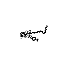 C=C(C)[C@@H]1CC=C(COC(=O)N(C(=O)CCCCCCC/C=C\C/C=C\CCCCC)C(=O)c2ncn3c(=O)n(C)nnc23)CC1